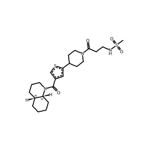 CS(=O)(=O)NCCC(=O)N1CCC(c2cc(C(=O)N3CCC[C@H]4CCCC[C@H]43)cs2)CC1